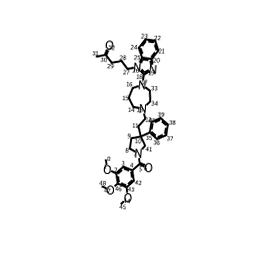 COc1cc(C(=O)N2CCC(CCN3CCCN(c4nc5ccccc5n4CCCC(C)=O)CC3)(c3ccccc3)C2)cc(OC)c1OC